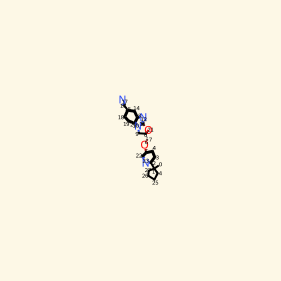 CC1(c2ccc(OC[C@@H]3Cn4c(nc5cc(C#N)ccc54)O3)cn2)CCCC1